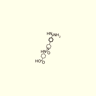 N=C(N)c1ccc(C2CCN(C(=O)N[C@H]3CC[C@H](C(=O)O)CC3)CC2)cc1